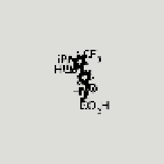 CC(C)c1cc(C(F)(F)F)cc(-c2ccc(C(=O)NCCC(=O)O)cc2)c1CO